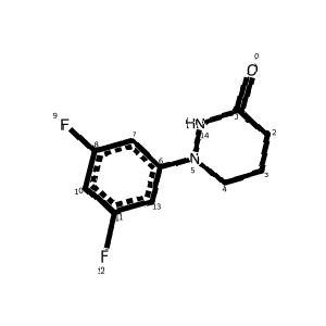 O=C1CCCN(c2cc(F)cc(F)c2)N1